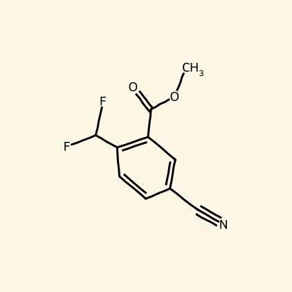 COC(=O)c1cc(C#N)ccc1C(F)F